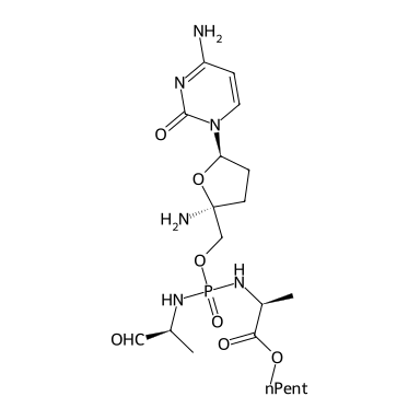 CCCCCOC(=O)[C@H](C)NP(=O)(N[C@@H](C)C=O)OC[C@]1(N)CC[C@H](n2ccc(N)nc2=O)O1